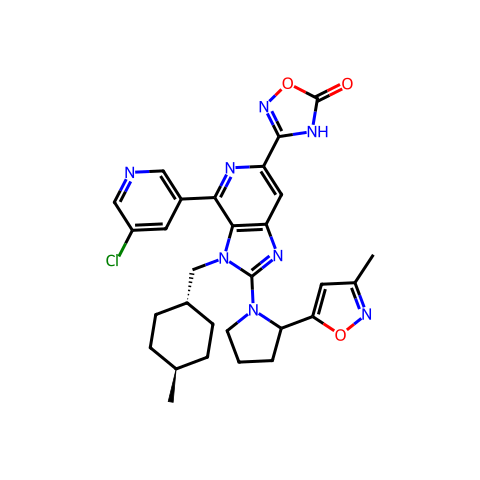 Cc1cc(C2CCCN2c2nc3cc(-c4noc(=O)[nH]4)nc(-c4cncc(Cl)c4)c3n2C[C@H]2CC[C@H](C)CC2)on1